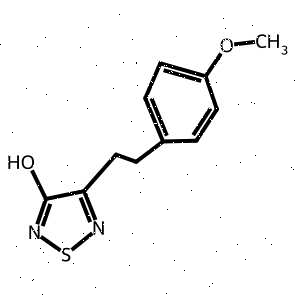 COc1ccc(CCc2nsnc2O)cc1